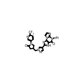 CCCn1c(=O)c2[nH]c(-c3cnn(CC4CC(=O)N(c5ccc(C(F)(F)F)nc5)C4)c3)nc2n2ccnc12